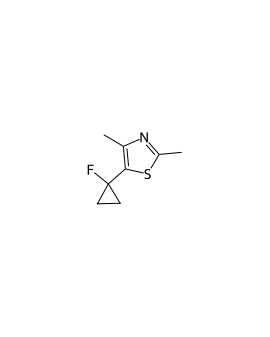 Cc1nc(C)c(C2(F)CC2)s1